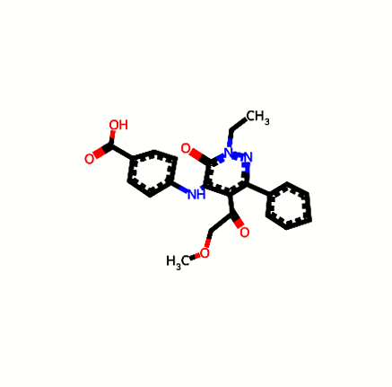 CCn1nc(-c2ccccc2)c(C(=O)COC)c(Nc2ccc(C(=O)O)cc2)c1=O